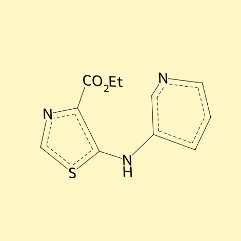 CCOC(=O)c1ncsc1Nc1cccnc1